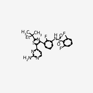 CCC(C)(C)c1nc(-c2cccc(NS(=O)(=O)c3c(F)cccc3F)c2F)c(-c2ccnc(N)n2)s1